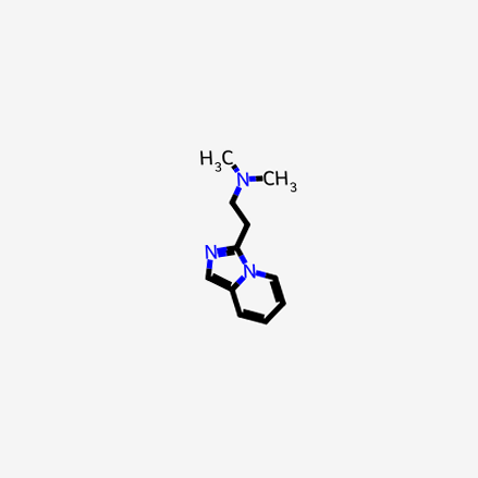 CN(C)CCc1ncc2ccccn12